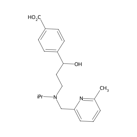 Cc1cccc(CN(CCC(O)c2ccc(C(=O)O)cc2)C(C)C)n1